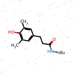 CCCCNC(=O)CCc1cc(C)c(O)c(C)c1